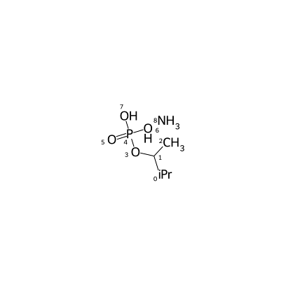 CC(C)C(C)OP(=O)(O)O.N